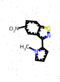 Cn1cccc1-c1nsc2ccc([N+](=O)[O-])cc12